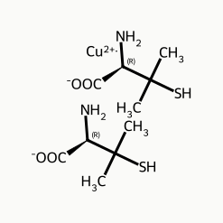 CC(C)(S)[C@H](N)C(=O)[O-].CC(C)(S)[C@H](N)C(=O)[O-].[Cu+2]